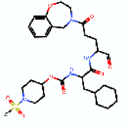 CS(=O)(=O)N1CCC(OC(=O)NC(CC2CCCCC2)C(=O)NC(C=O)CCC(=O)N2CCOc3ccccc3C2)CC1